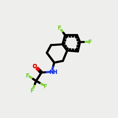 O=C(NC1CCc2c(F)cc(F)cc2C1)C(F)(F)F